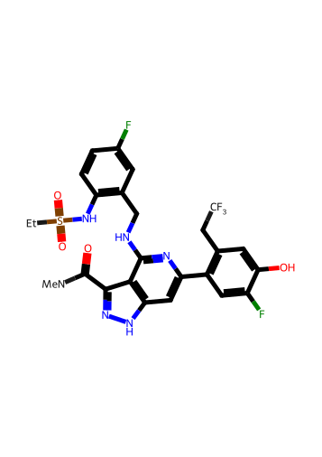 CCS(=O)(=O)Nc1ccc(F)cc1CNc1nc(-c2cc(F)c(O)cc2CC(F)(F)F)cc2[nH]nc(C(=O)NC)c12